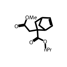 CCCOC(=O)C1(CC(=O)OC)CC2C=CC1C2